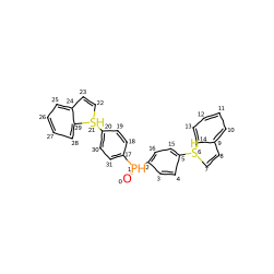 O=[PH](c1ccc([SH]2C=Cc3ccccc32)cc1)c1ccc([SH]2C=Cc3ccccc32)cc1